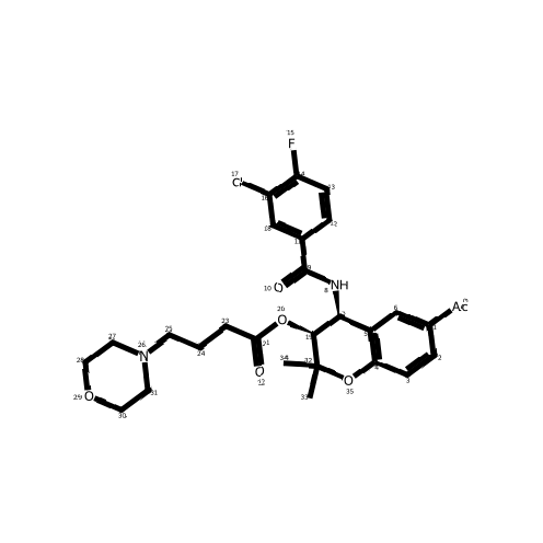 CC(=O)c1ccc2c(c1)[C@H](NC(=O)c1ccc(F)c(Cl)c1)[C@H](OC(=O)CCCN1CCOCC1)C(C)(C)O2